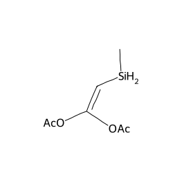 C[SiH2]C=C(OC(C)=O)OC(C)=O